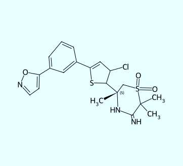 CC1(C)C(=N)N[C@](C)(C2SC(c3cccc(-c4ccno4)c3)=CC2Cl)CS1(=O)=O